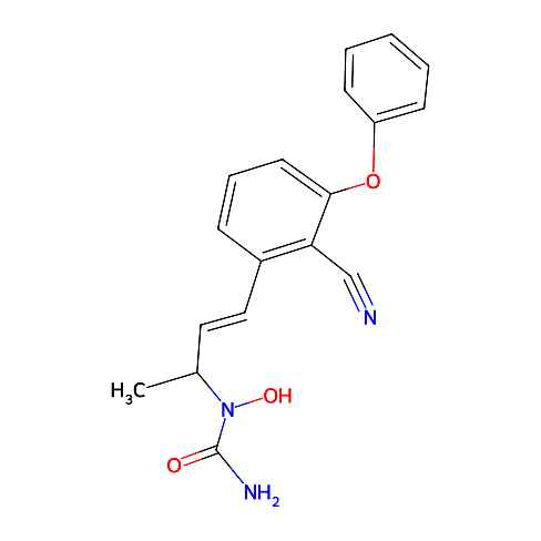 CC(/C=C/c1cccc(Oc2ccccc2)c1C#N)N(O)C(N)=O